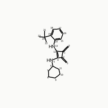 C=C1C(=C)C(NC2CCCCC2)=C1Nc1ccccc1C(C)(C)C